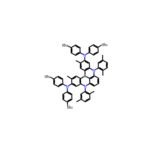 Cc1ccc(C)c(N2c3cc(N(c4ccc(C(C)(C)C)cc4)c4ccc(C(C)(C)C)cc4)c(C)cc3B3c4cc(C)c(N(c5ccc(C(C)(C)C)cc5)c5ccc(C(C)(C)C)cc5)cc4N(c4cc(C)ccc4C)c4cccc2c43)c1